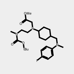 COC(=O)CN(CCN(C)C(=O)OC(C)(C)C)C1CCC(CN(C)c2ccc(I)cc2)CC1